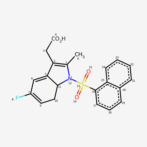 CC1=C(CC(=O)O)C2=CC(F)=CCC2N1S(=O)(=O)c1cccc2ccccc12